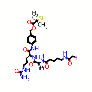 CC(C)C(NC(=O)CCCCNC(=O)CI)C(=O)N[C@@H](CCCNC(N)=O)C(=O)Nc1ccc(COC(=O)C(C)(C)S)cc1